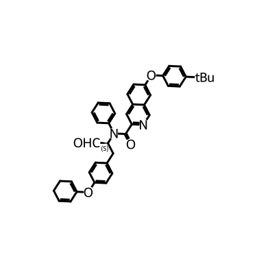 CC(C)(C)c1ccc(Oc2ccc3cc(C(=O)N(c4ccccc4)[C@H](C=O)Cc4ccc(OC5=CCCC=C5)cc4)ncc3c2)cc1